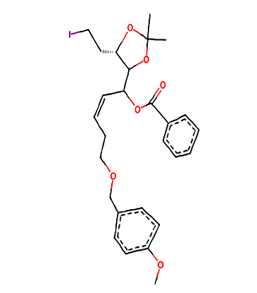 COc1ccc(COCC/C=C\C(OC(=O)c2ccccc2)C2OC(C)(C)O[C@H]2CCI)cc1